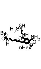 CCCCCCOc1cc(CCCCCCNC(=O)OC(C)(C)C)c(C(=O)NCCN(C)C)cc1C(N)=O